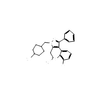 CCC1CCC(Cn2nc(-c3ccccc3)c(-c3cccc(Cl)c3F)c2CCC#N)CC1